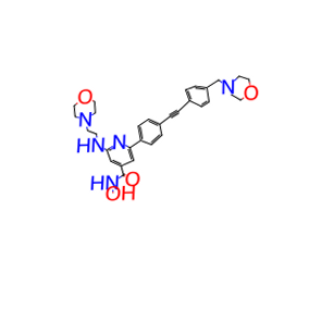 O=C(NO)c1cc(NCCN2CCOCC2)nc(-c2ccc(C#Cc3ccc(CN4CCOCC4)cc3)cc2)c1